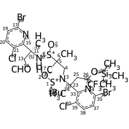 CC(C)(C)[S+]([O-])N(CC(C)(C)[S+]([O-])N[C@@](C)(CC=O)c1nc(Br)ccc1Cl)[C@@](C)(C[C@H](O[Si](C)(C)C)C(F)(F)F)c1nc(Br)ccc1Cl